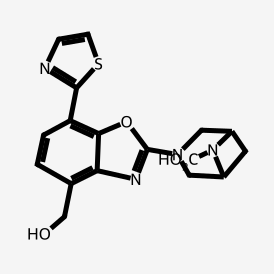 O=C(O)N1C2CC1CN(c1nc3c(CO)ccc(-c4nccs4)c3o1)C2